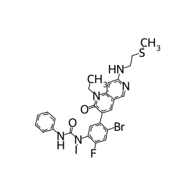 CCn1c(=O)c(-c2cc(N(I)C(=O)Nc3ccccc3)c(F)cc2Br)cc2cnc(NCCSC)cc21